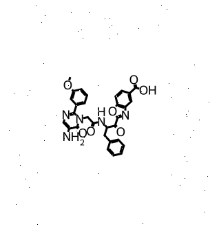 COc1cccc(-c2ncc(N)c(=O)n2CC(=O)NC(Cc2ccccc2)C(=O)c2nc3cc(C(=O)O)ccc3o2)c1